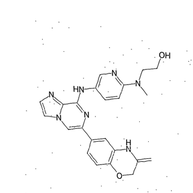 C=C1COc2ccc(-c3cn4ccnc4c(Nc4ccc(N(C)CCO)nc4)n3)cc2N1